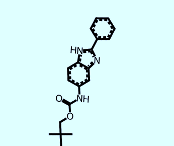 CC(C)(C)COC(=O)Nc1ccc2[nH]c(-c3ccccc3)nc2c1